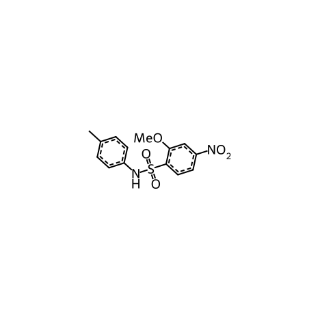 COc1cc([N+](=O)[O-])ccc1S(=O)(=O)Nc1ccc(C)cc1